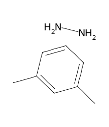 Cc1cccc(C)c1.NN